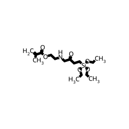 C=C(C)C(=O)OCCNCC(=O)CC[Si](OCC)(OCC)OCC